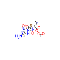 C/C=C\C1=C(C(=O)OCOC(C)=O)N2C(=O)C(NC(=O)/C(=N\O)c3csc(N)n3)[C@@H]2SC1